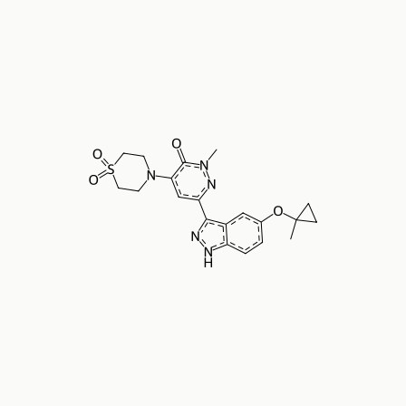 Cn1nc(-c2n[nH]c3ccc(OC4(C)CC4)cc23)cc(N2CCS(=O)(=O)CC2)c1=O